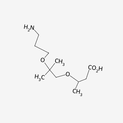 CC(CC(=O)O)OCC(C)(C)OCCCN